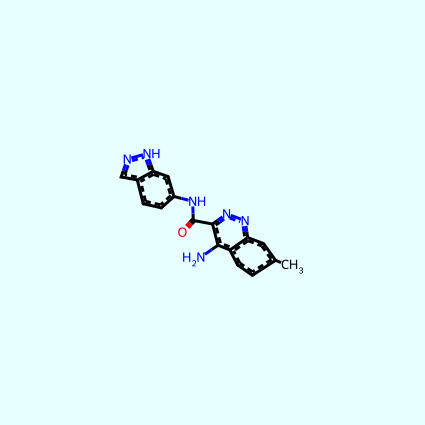 Cc1ccc2c(N)c(C(=O)Nc3ccc4cn[nH]c4c3)nnc2c1